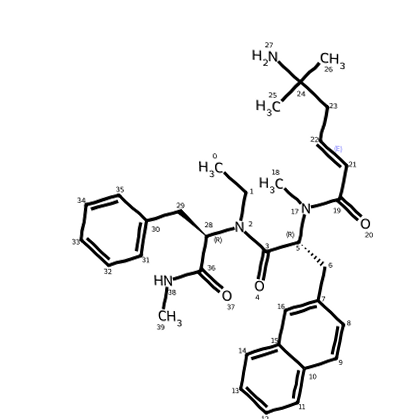 CCN(C(=O)[C@@H](Cc1ccc2ccccc2c1)N(C)C(=O)/C=C/CC(C)(C)N)[C@H](Cc1ccccc1)C(=O)NC